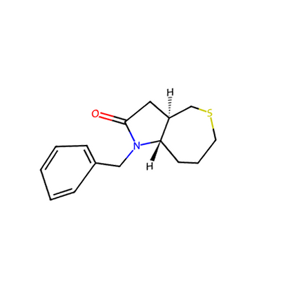 O=C1C[C@H]2CSCCC[C@@H]2N1Cc1ccccc1